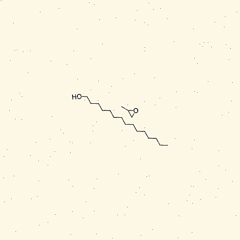 CC1CO1.CCCCCCCCCCCCCCCO